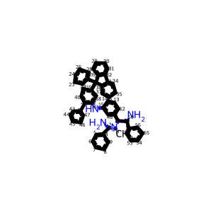 CN(C(N)c1ccccc1)C(c1cccc(Nc2cc(C3(c4ccccc4)c4ccccc4-c4ccccc43)ccc2-c2ccccc2)c1)[C@@H](N)c1ccccc1